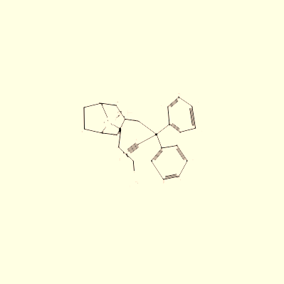 CCCC[N+]1(C)C2CCC1CC(CC(C#N)(c1ccccc1)c1ccccc1)C2.[Br-]